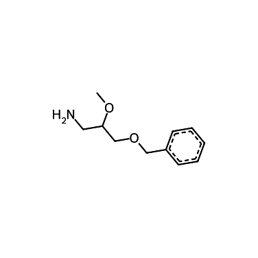 COC(CN)COCc1ccccc1